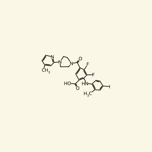 Cc1ccnc(N2CCN(C(=O)c3cc(C(=O)O)c(Nc4ccc(I)cc4C)c(F)c3F)CC2)c1